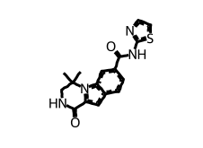 CC1(C)CNC(=O)c2cc3ccc(C(=O)Nc4nccs4)cc3n21